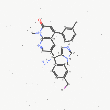 Cc1cccc(-c2cc(=O)n(C)c3ncc([C@](N)(c4ccc(CI)cc4)c4cncn4C)cc23)c1